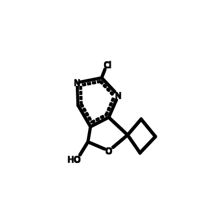 OC1OC2(CCC2)c2nc(Cl)ncc21